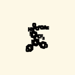 CC(=O)OCOC(=O)Nc1cc(C(F)(F)F)c(-c2nc(N3CCOCC3)cc(N3CCOCC3)n2)cn1